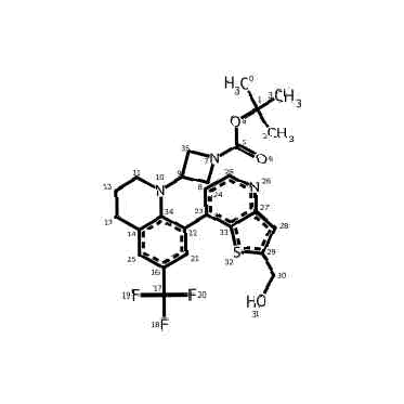 CC(C)(C)OC(=O)N1CC(N2CCCc3cc(C(F)(F)F)cc(-c4ccnc5cc(CO)sc45)c32)C1